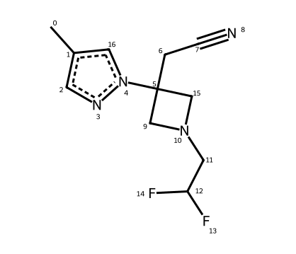 Cc1cnn(C2(CC#N)CN(CC(F)F)C2)c1